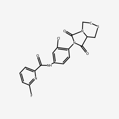 O=C(Nc1ccc(N2C(=O)C3CSCCN3C2=O)c(Cl)c1)c1cccc(F)n1